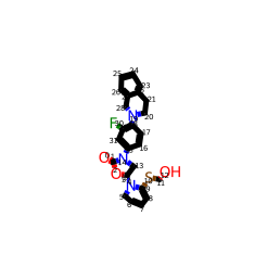 O=C1O[C@H](N2CC=CC=C2SCO)CN1c1ccc(N2CCc3ccccc3C2)c(F)c1